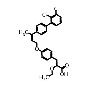 CCOC(Cc1ccc(OCC=C(C)c2ccc(-c3cccc(Cl)c3Cl)cc2)cc1)C(=O)O